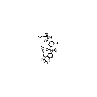 COCCCN1C(=O)C(C)(C)Oc2ccc(N(C(=O)[C@H]3CNC[C@@H](C(=O)NC4(CCC(C)C)CC4)C3)C3CC3)cc21